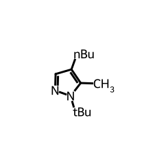 CCCCc1cnn(C(C)(C)C)c1C